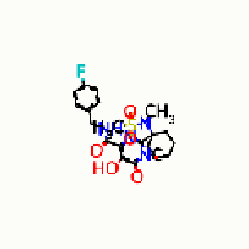 CN(C12CCC(CC1)Cn1c2nc(C(=O)NCc2ccc(F)cc2)c(O)c1=O)S(C)(=O)=O